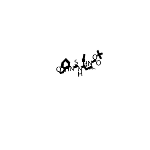 CC#C[C@@H](C[C@@H](C)NC(=O)OC(C)(C)C)NC(=S)Nc1cccc2c1CCO2